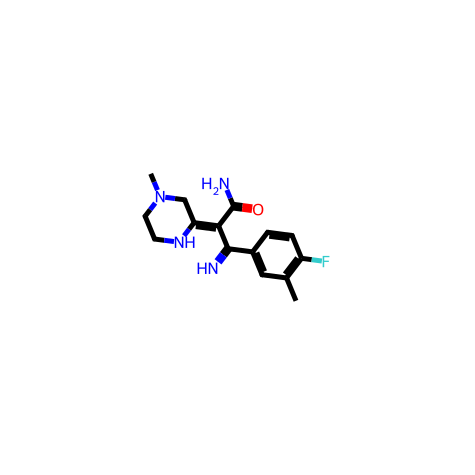 Cc1cc(C(=N)/C(C(N)=O)=C2/CN(C)CCN2)ccc1F